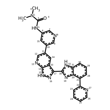 CN(C)C(=O)Nc1cncc(-c2cnc3[nH]nc(-c4nc5c(-c6ccccn6)cccc5[nH]4)c3c2)c1